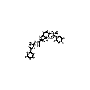 O=S(=O)(Oc1ccc2nc(NCc3nc(-c4ccccc4)no3)[nH]c2c1)c1ccccc1